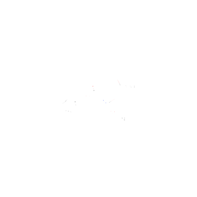 CC(C)(C)C(=O)SC[C@H](NC(=O)OCN=O)C(=O)OCc1ccccc1